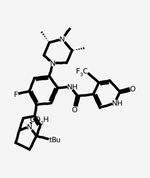 C[C@@H]1CN(c2cc(F)c(C3=CC4(C(C)(C)C)CCC(C3)N4C(=O)O)cc2NC(=O)c2c[nH]c(=O)cc2C(F)(F)F)C[C@H](C)N1C